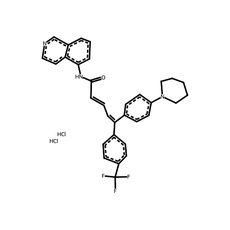 Cl.Cl.O=C(/C=C/C=C(\c1ccc(N2CCCCC2)cc1)c1ccc(C(F)(F)F)cc1)Nc1cccc2cnccc12